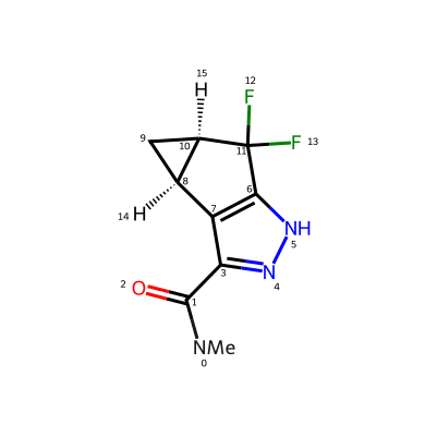 CNC(=O)c1n[nH]c2c1[C@H]1C[C@H]1C2(F)F